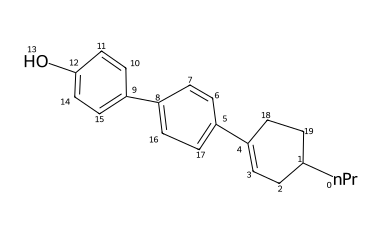 CCCC1CC=C(c2ccc(-c3ccc(O)cc3)cc2)CC1